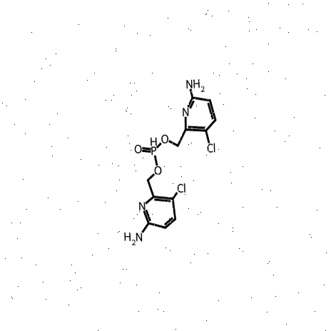 Nc1ccc(Cl)c(CO[PH](=O)OCc2nc(N)ccc2Cl)n1